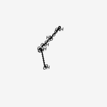 O=C(O)CCCCCCCCCCCCCCCCC(=O)N[C@@H](CCC(=O)NCCOCCOCC(=O)NCCOCCOCC(=O)NC1CCCC1)C(=O)O